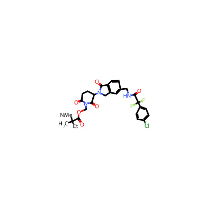 CCC(C)(NC)C(=O)OCN1C(=O)CCC(N2Cc3cc(CNC(=O)C(F)(F)c4ccc(Cl)cc4)ccc3C2=O)C1=O